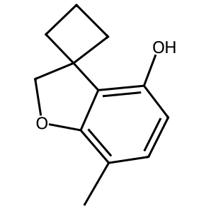 Cc1ccc(O)c2c1OCC21CCC1